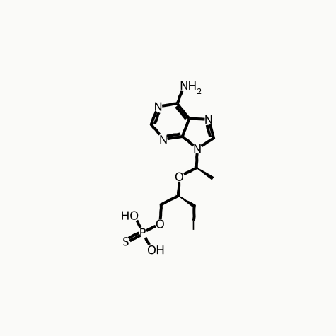 C[C@@H](O[C@@H](CI)COP(O)(O)=S)n1cnc2c(N)ncnc21